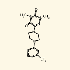 Cn1nc(N2CCN(c3cccc(C(F)(F)F)c3)CC2)c(=O)n(C)c1=O